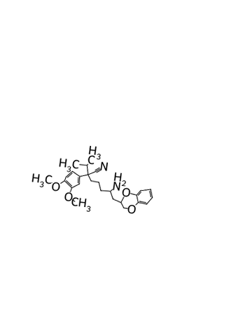 COc1ccc(C(C#N)(CCCC(N)CC2COc3ccccc3O2)C(C)C)cc1OC